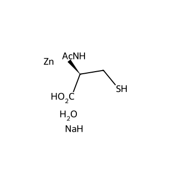 CC(=O)N[C@@H](CS)C(=O)O.O.[NaH].[Zn]